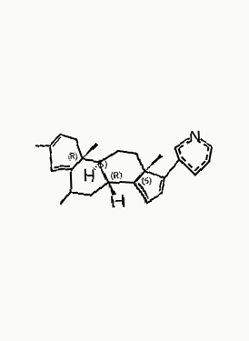 CC1=CC[C@@]2(C)C(=C1)C(C)C[C@H]1C3=CC=C(c4cccnc4)[C@@]3(C)CC[C@@H]12